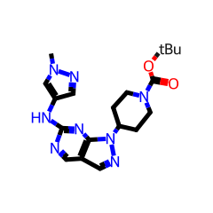 Cn1cc(Nc2ncc3cnn(C4CCN(C(=O)OC(C)(C)C)CC4)c3n2)cn1